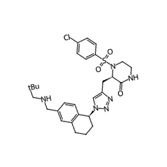 CC(C)(C)CNCc1ccc2c(c1)CCC[C@@H]2n1cc(C[C@@H]2C(=O)NCCN2S(=O)(=O)c2ccc(Cl)cc2)nn1